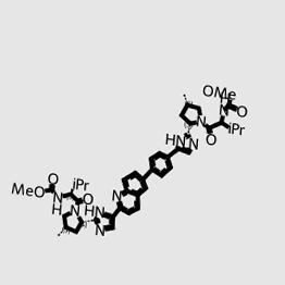 COC(=O)NC(C(=O)N1C[C@@H](C)C[C@H]1c1ncc(-c2ccc(-c3ccc4nc(-c5cnc([C@@H]6C[C@H](C)CN6C(=O)[C@@H](NC(=O)OC)C(C)C)[nH]5)ccc4c3)cc2)[nH]1)C(C)C